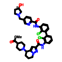 COC(=O)C1CCN(C2CCCn3nc(C(=O)Nc4cccc(-c5cccc(NC(=O)c6ccc(CN7CC[C@@H](O)C7)cn6)c5Cl)c4Cl)cc32)CC1